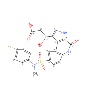 CN(c1ccc(F)cc1)S(=O)(=O)c1ccc2[nH]c(=O)c3[nH]cc(C(O)CC(=O)O)c3c2c1